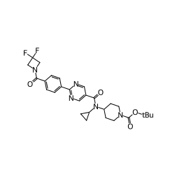 CC(C)(C)OC(=O)N1CCC(N(C(=O)c2cnc(-c3ccc(C(=O)N4CC(F)(F)C4)cc3)nc2)C2CC2)CC1